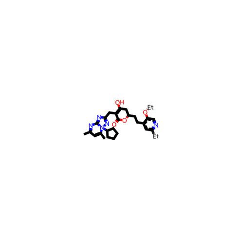 CCOc1cnc(CC)cc1CCC1CC(O)=C(CC2=N[N+]3(C4CCCC4)C(C)=CC(C)=NC3=N2)C(=O)O1